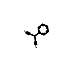 N#CC(C#N)c1ccccc1